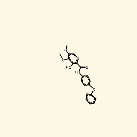 COc1cnc(C(=O)Nc2ccc(Oc3ccccc3)cc2)c(O)c1OC